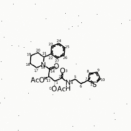 CC(=O)O[C@@H](C(=O)NCCc1cccs1)[C@@H](OC(C)=O)C(=O)N1CCCCC1c1ccccc1